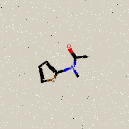 [CH2]C(=O)N(C)c1cccs1